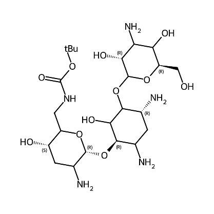 CC(C)(C)OC(=O)NCC1O[C@H](O[C@@H]2C(N)C[C@@H](N)C(OC3O[C@H](CO)C(O)C(N)[C@H]3O)C2O)C(N)C[C@@H]1O